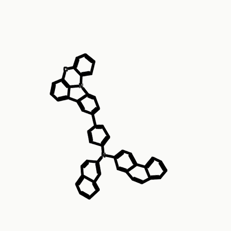 c1ccc2c(c1)Oc1cccc3c4cc(-c5ccc(N(c6ccc7ccccc7c6)c6ccc7c(ccc8ccccc87)c6)cc5)ccc4n-2c13